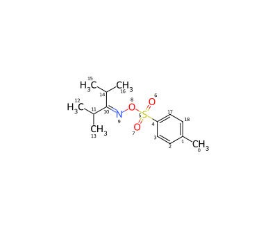 Cc1ccc(S(=O)(=O)ON=C(C(C)C)C(C)C)cc1